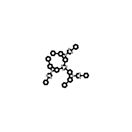 c1ccc(-c2ccc3c(c2)c2cc(-c4nc(-c5ccc6c(c5)c5cc(-c7ccccc7)ccc5n6-c5cnc(-c6ccccc6)nc5)nc(-c5ccc6c(c5)c5cc(-c7ccccc7)ccc5n6-c5cnc(-c6ccccc6)nc5)n4)ccc2n3-c2cnc(-c3ccccc3)nc2)cc1